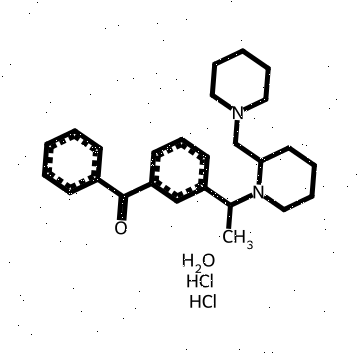 CC(c1cccc(C(=O)c2ccccc2)c1)N1CCCCC1CN1CCCCC1.Cl.Cl.O